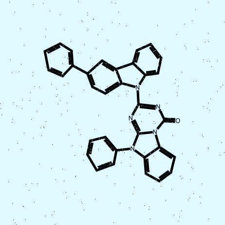 O=c1nc(-n2c3ccccc3c3cc(-c4ccccc4)ccc32)nc2n(-c3ccccc3)c3ccccc3n12